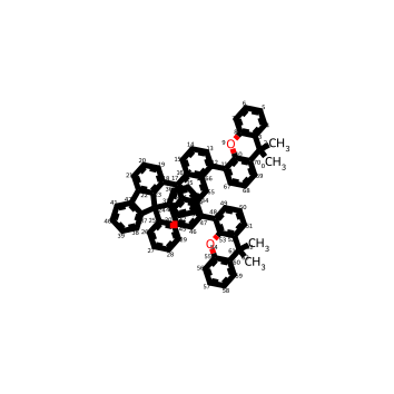 CC1(C)c2ccccc2Oc2c(-c3cccc4c(-c5cccc6c5C(c5ccccc5)(c5ccccc5)c5ccccc5-6)c5cccc(-c6cccc7c6Oc6ccccc6C7(C)C)c5cc34)cccc21